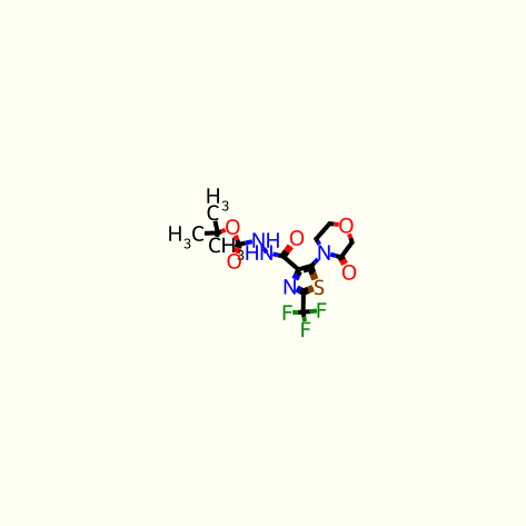 CC(C)(C)OC(=O)NNC(=O)c1nc(C(F)(F)F)sc1N1CCOCC1=O